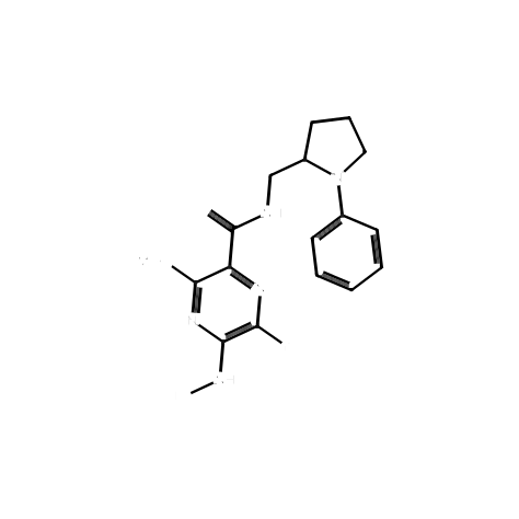 CCNc1nc(OC)c(C(=O)NCC2CCCN2c2ccccc2)nc1Cl